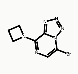 Brc1cnc(N2C[CH]C2)c2nnnn12